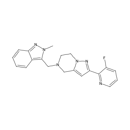 Cn1nc2ccccc2c1CN1CCn2nc(-c3ncccc3F)cc2C1